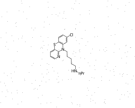 CCCNCCCCCN1c2cc(Cl)ccc2Sc2cccnc21